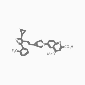 COc1cc(C(=O)O)nc2ccc(N3CC4C(C=Cc5c(-c6ccccc6C(F)(F)F)noc5C5CC5)C4C3)cc12